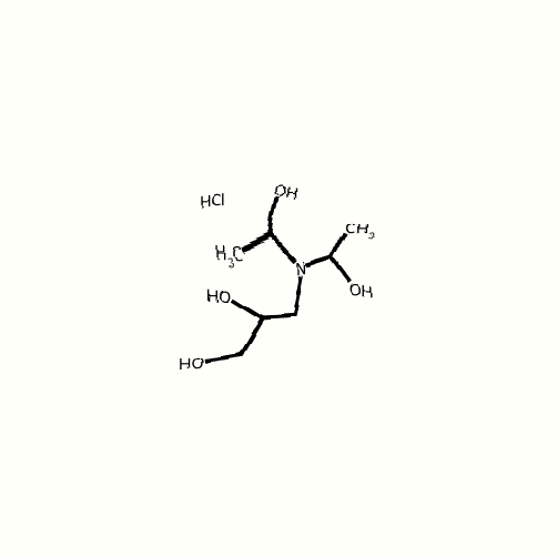 CC(O)N(CC(O)CO)C(C)O.Cl